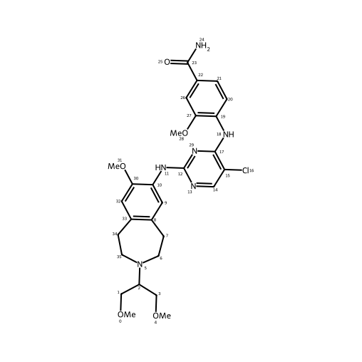 COCC(COC)N1CCc2cc(Nc3ncc(Cl)c(Nc4ccc(C(N)=O)cc4OC)n3)c(OC)cc2CC1